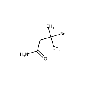 CC(C)(Br)CC(N)=O